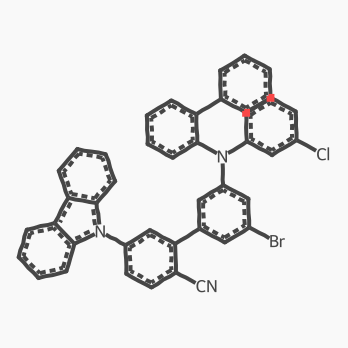 N#Cc1ccc(-n2c3ccccc3c3ccccc32)cc1-c1cc(Br)cc(N(c2cccc(Cl)c2)c2ccccc2-c2ccccc2)c1